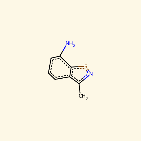 Cc1nsc2c(N)cccc12